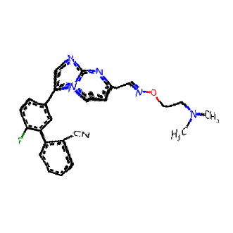 CN(C)CCON=Cc1ccn2c(-c3ccc(F)c(-c4ccccc4C#N)c3)cnc2n1